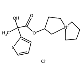 CC(O)(C(=O)OC1CC[N+]2(CCCC2)C1)c1cccs1.[Cl-]